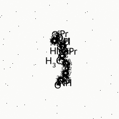 Cc1cc(Nc2ncc(Cl)c(Nc3ccccc3S(=O)(=O)C(C)C)n2)c(OC(C)C)cc1C1CCN(Cc2ccc(C3CCC(=O)NC3=O)c(F)c2)CC1